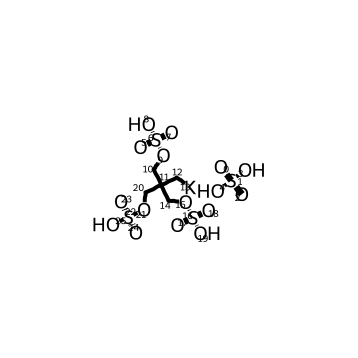 O=S(=O)(O)O.O=S(=O)(O)OCC([CH2][K])(COS(=O)(=O)O)COS(=O)(=O)O